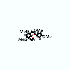 CCCc1cc(C=C(OC)C(=O)c2ccc(OC)cc2)c(OC)cc1OC